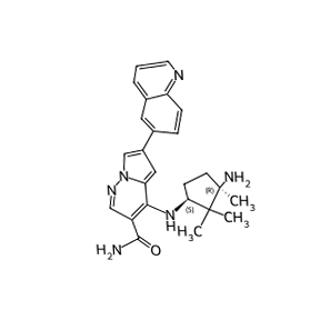 CC1(C)[C@@H](Nc2c(C(N)=O)cnn3cc(-c4ccc5ncccc5c4)cc23)CC[C@@]1(C)N